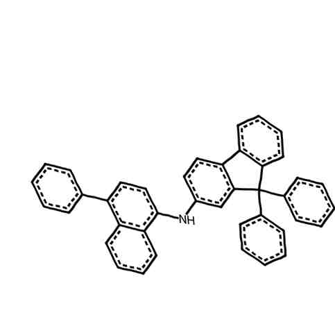 c1ccc(-c2ccc(Nc3ccc4c(c3)C(c3ccccc3)(c3ccccc3)c3ccccc3-4)c3ccccc23)cc1